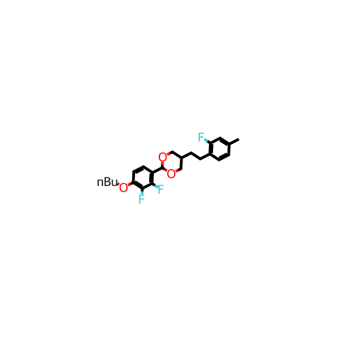 CCCCOc1ccc(C2OCC(CCc3ccc(C)cc3F)CO2)c(F)c1F